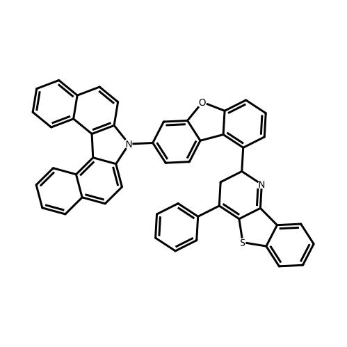 c1ccc(C2=c3sc4ccccc4c3=NC(c3cccc4oc5cc(-n6c7ccc8ccccc8c7c7c8ccccc8ccc76)ccc5c34)C2)cc1